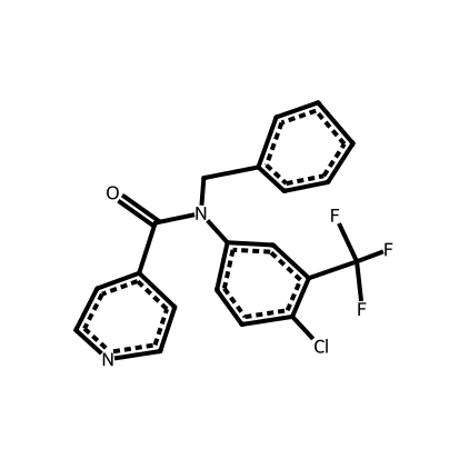 O=C(c1ccncc1)N(Cc1ccccc1)c1ccc(Cl)c(C(F)(F)F)c1